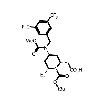 CC[C@@H]1C[C@H](N(Cc2cc(C(F)(F)F)cc(C(F)(F)F)c2)C(=O)OC)C[C@H](CC(=O)O)N1C(=O)OC(C)(C)C